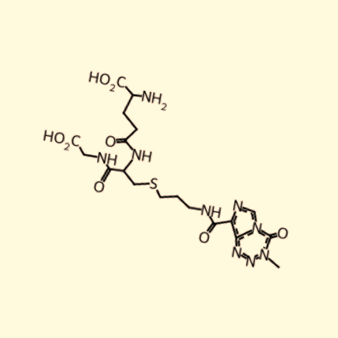 Cn1nnc2c(C(=O)NCCCSCC(NC(=O)CCC(N)C(=O)O)C(=O)NCC(=O)O)ncn2c1=O